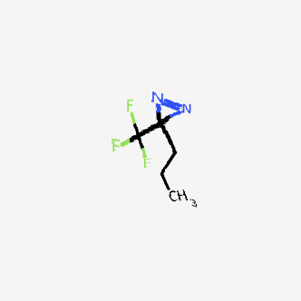 CCCC1(C(F)(F)F)N=N1